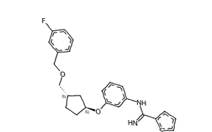 N=C(Nc1cccc(O[C@H]2CC[C@H](COCc3cccc(F)c3)C2)c1)c1cccs1